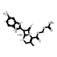 CC1=C(C(=O)OCOC(=O)C(C)(C)C)N2C(=O)C(c3nc4cc([N+](=O)[O-])ccc4[nH]3)[C@@H]2SC1